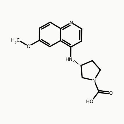 COc1ccc2nccc(N[C@@H]3CCN(C(=O)O)C3)c2c1